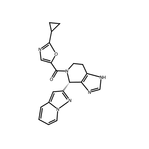 O=C(c1cnc(C2CC2)o1)N1CCc2[nH]cnc2[C@@H]1c1cc2ccccn2n1